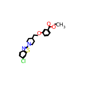 CCOC(=O)c1cccc(OCCC2CCN(c3nc4ccc(Cl)cc4s3)CC2)c1